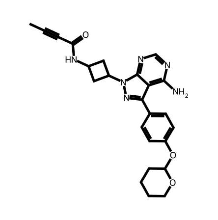 CC#CC(=O)NC1CC(n2nc(-c3ccc(OC4CCCCO4)cc3)c3c(N)ncnc32)C1